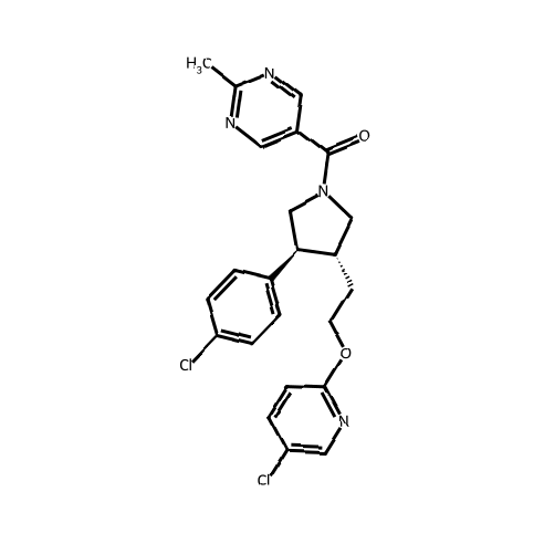 Cc1ncc(C(=O)N2C[C@H](CCOc3ccc(Cl)cn3)[C@@H](c3ccc(Cl)cc3)C2)cn1